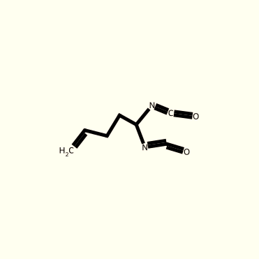 C=CCCC(N=C=O)N=C=O